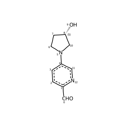 O=Cc1ccc(N2CC[C@H](O)C2)cn1